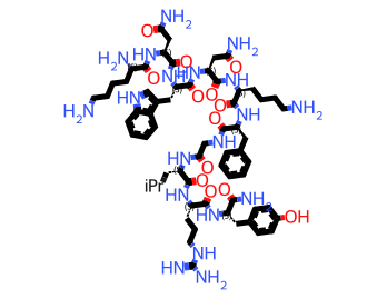 CC(C)C[C@H](NC(=O)CNC(=O)[C@H](Cc1ccccc1)NC(=O)[C@H](CCCCN)NC(=O)[C@H](CC(N)=O)NC(=O)[C@H](Cc1c[nH]c2ccccc12)NC(=O)[C@H](CC(N)=O)NC(=O)[C@@H](N)CCCCN)C(=O)N[C@@H](CCCNC(=N)N)C(=O)N[C@@H](Cc1ccc(O)cc1)C(N)=O